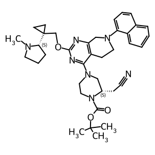 CN1CCC[C@H]1C1(COc2nc3c(c(N4CCN(C(=O)OC(C)(C)C)[C@@H](CC#N)C4)n2)CCN(c2cccc4ccccc24)C3)CC1